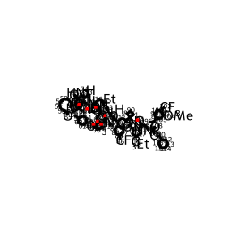 CCO[C@@H]1C[C@@H](C(=O)N(C)C2(C(=O)CC(C(=O)N(C)[C@H](C(=O)N(C)CN(C(=O)CCC(=O)N(C)C)[C@@H](CC)CC(=O)NC(C(=O)[C@]3(C(=O)N(C)[C@@H]4CC=CCCC(=O)N4[C@@H](Cc4ccc(C(F)(F)F)cc4)C(=O)CNCC(=O)O)CCCN3)[C@@H](C)CC)C3CCCC3)c3ccc(C(F)(F)F)cc3)CCC2)N(C(=O)[C@H](CCc2ccc(C(F)(F)F)c(OC)c2)NC(=O)OCc2ccccc2)C1